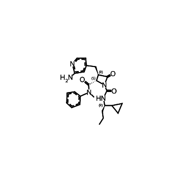 CCC[C@@H](NC(=O)N1C(=O)[C@H](Cc2ccnc(N)c2)[C@H]1C(=O)N(C)c1ccccc1)C1CC1